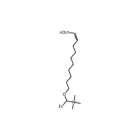 CCCCCCCC/C=C\CCCCCCCCOC(CC)[N+](C)(C)C